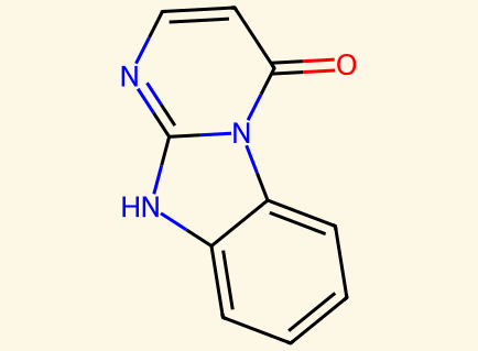 O=c1ccnc2[nH]c3ccccc3n12